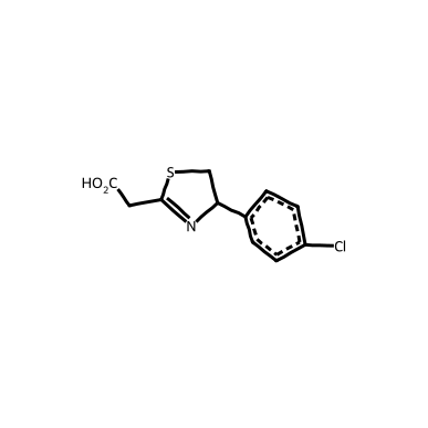 O=C(O)CC1=NC(c2ccc(Cl)cc2)CS1